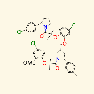 COc1cc(Cl)ccc1OC(C)(C)C(=O)N1CC(COc2cc(Cl)ccc2OC(C)(C)C(=O)N2CCCC2c2ccc(Cl)cc2)CC1c1ccc(C)cc1